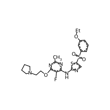 CCOc1cccc(S(=O)(=O)c2cnc(Nc3nc(C)nc(OCCN4CCCC4)c3F)s2)c1